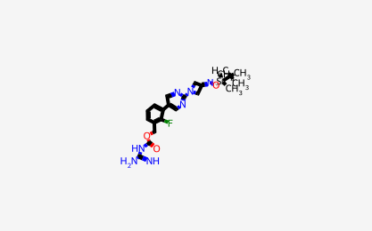 CC(C)(C)[Si](C)(C)ON=C1CN(c2ncc(-c3cccc(COC(=O)NC(=N)N)c3F)cn2)C1